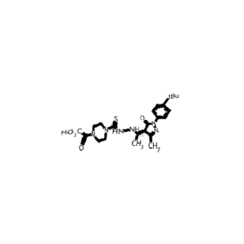 CC1=NN(c2ccc(C(C)(C)C)cc2)C(=O)/C1=C(/C)NNC(=S)N1CCN(C(=O)C(=O)O)CC1